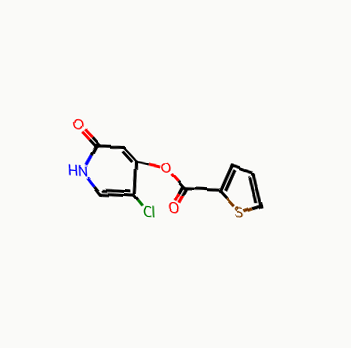 O=C(Oc1cc(=O)[nH]cc1Cl)c1cccs1